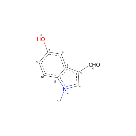 Cn1cc(C=O)c2cc(O)ccc21